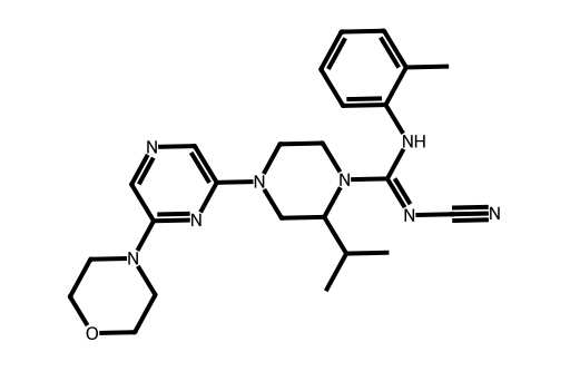 Cc1ccccc1N/C(=N\C#N)N1CCN(c2cncc(N3CCOCC3)n2)CC1C(C)C